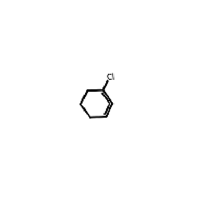 ClC1=C=CCCC1